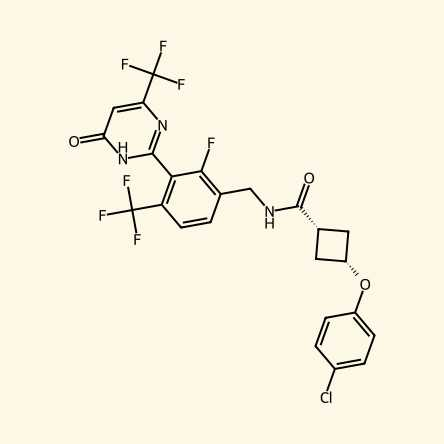 O=c1cc(C(F)(F)F)nc(-c2c(C(F)(F)F)ccc(CNC(=O)[C@H]3C[C@@H](Oc4ccc(Cl)cc4)C3)c2F)[nH]1